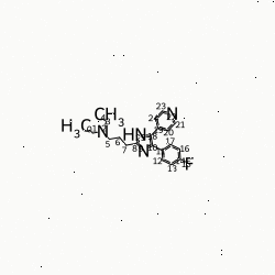 CCN(CC)CCCc1nc(-c2ccc(F)cc2)c(-c2ccncc2)[nH]1